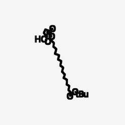 CC(C)(C)OC(=O)CCCCCCCCCCCCCCCCC(=O)ON1C(=O)CCC1O